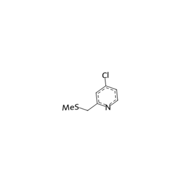 CSCc1cc(Cl)ccn1